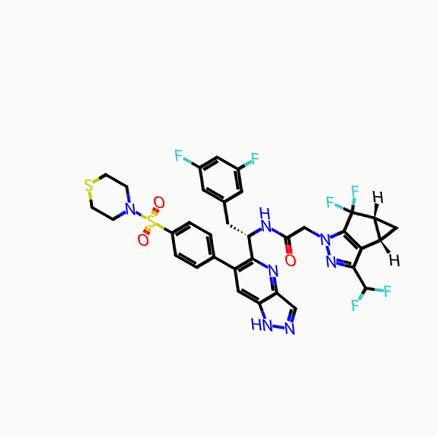 O=C(Cn1nc(C(F)F)c2c1C(F)(F)[C@@H]1C[C@H]21)N[C@@H](Cc1cc(F)cc(F)c1)c1nc2cn[nH]c2cc1-c1ccc(S(=O)(=O)N2CCSCC2)cc1